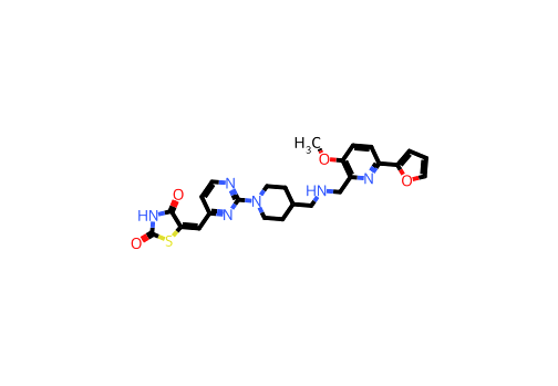 COc1ccc(-c2ccco2)nc1CNCC1CCN(c2nccc(C=C3SC(=O)NC3=O)n2)CC1